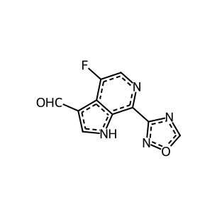 O=Cc1c[nH]c2c(-c3ncon3)ncc(F)c12